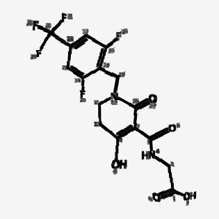 O=C(O)CNC(=O)C1=C(O)CCN(Cc2c(F)cc(C(F)(F)F)cc2F)C1=O